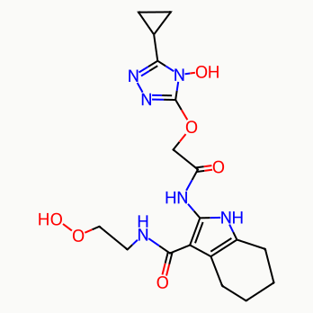 O=C(COc1nnc(C2CC2)n1O)Nc1[nH]c2c(c1C(=O)NCCOO)CCCC2